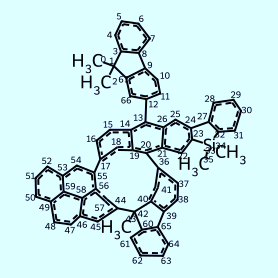 CC1(C)c2ccccc2-c2ccc(-c3c4ccc5cc4c(c4cc6c(cc34)-c3ccccc3[Si]6(C)C)-c3ccc4c(c3)C(C)(c3cc6ccc7cccc8cc-5c(c3)c6c78)c3ccccc3-4)cc21